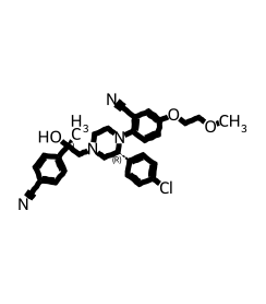 COCCOc1ccc(N2CCN(C[C@@](C)(O)c3ccc(C#N)cc3)C[C@H]2c2ccc(Cl)cc2)c(C#N)c1